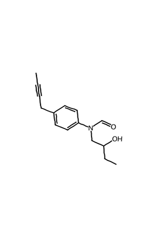 CC#CCc1ccc(N(C=O)CC(O)CC)cc1